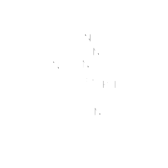 CC(POn1nnc2cccnc21)N1CCCC1